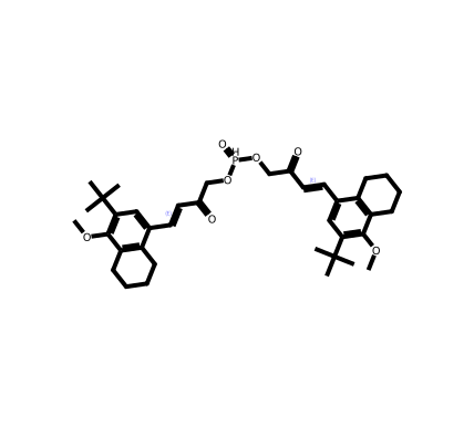 COc1c(C(C)(C)C)cc(/C=C/C(=O)CO[PH](=O)OCC(=O)/C=C/c2cc(C(C)(C)C)c(OC)c3c2CCCC3)c2c1CCCC2